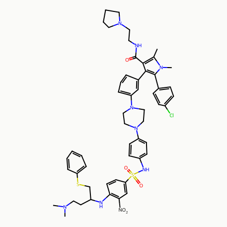 Cc1c(C(=O)NCCN2CCCC2)c(-c2cccc(N3CCN(c4ccc(NS(=O)(=O)c5ccc(NC(CCN(C)C)CSc6ccccc6)c([N+](=O)[O-])c5)cc4)CC3)c2)c(-c2ccc(Cl)cc2)n1C